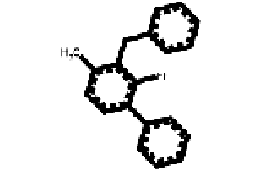 CCc1c(-c2ccccc2)ccc(C)c1Cc1ccccc1